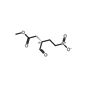 COC(=O)C[C@@H](C=O)CC[N+](=O)[O-]